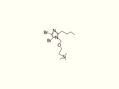 CCCCc1nc(Br)c(Br)n1COCC[Si](C)(C)C